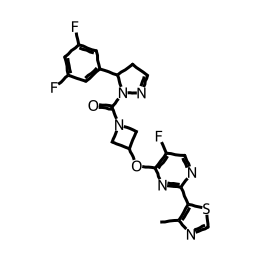 Cc1ncsc1-c1ncc(F)c(OC2CN(C(=O)N3N=CCC3c3cc(F)cc(F)c3)C2)n1